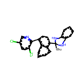 CC(C)(C)C1(c2ccc(-c3ncc(Cl)cc3Cl)c3ccccc23)Nc2ccccc2N1